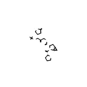 O=C1NCC[C@H]1C[C@H](NC(=O)[C@@H]1C[C@H]2C[C@H]2N1C(=O)[C@@H]1CCCO1)C(=O)COC(F)(F)F